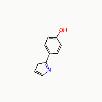 Oc1ccc(C2=NC=CC2)cc1